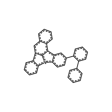 c1ccc(-c2ccccc2-c2ccc3c(c2)c2c4ccccc4cc4c5ccccc5n3c42)cc1